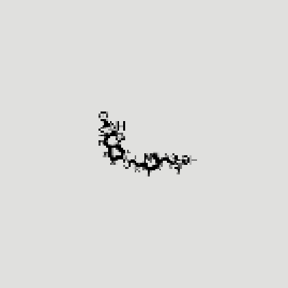 C[Si](C)(O)CCc1ccc(CCOc2ccc(CC3SC(=O)NC3=O)cc2)nc1